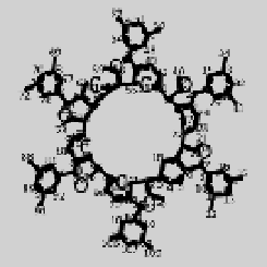 CCC1c2ccc(C(=O)c3cc(C)cc(C)c3)c(c2)C(CC)c2ccc(C(=O)c3cc(C)cc(C)c3)c(c2)C(CC)c2ccc(C(=O)c3cc(C)cc(C)c3)c(c2)C(CC)c2ccc(C(=O)c3cc(C)cc(C)c3)c(c2)C(CC)c2ccc(C(=O)c3cc(C)cc(C)c3)c(c2)C(C)c2ccc(C(=O)c3cc(C)cc(C)c3)c1c2